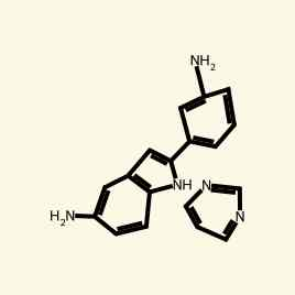 Nc1cccc(-c2cc3cc(N)ccc3[nH]2)c1.c1cncnc1